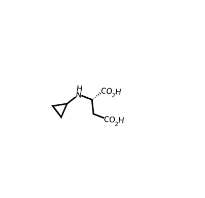 O=C(O)C[C@H](NC1CC1)C(=O)O